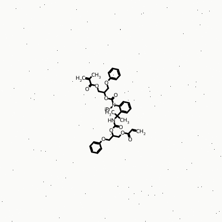 C=CC(=O)OCC(COc1ccccc1)OC(=O)NC(C)(C)c1ccccc1N(C(=O)OC(COC(=O)C(=C)C)COc1ccccc1)C(C)C